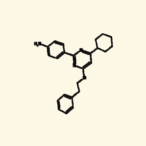 Nc1ccc(-c2nc(OCCc3ccccc3)cc(C3CCCCC3)n2)cc1